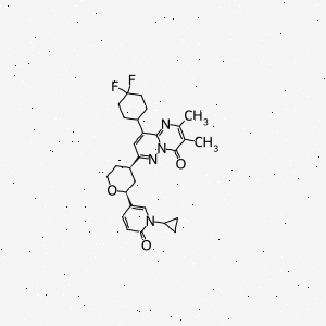 Cc1nc2c(C3CCC(F)(F)CC3)cc([C@@H]3CCO[C@H](c4ccc(=O)n(C5CC5)c4)C3)nn2c(=O)c1C